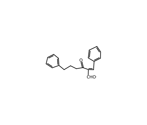 O=[C]C(=Cc1ccccc1)C(=O)CCCc1ccccc1